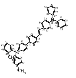 Cc1ccc(N(c2ccc(-c3ccc(/C=C/c4ccc(N(c5ccccc5)c5ccccc5)cc4)cc3)cc2)c2ccccc2C)cc1